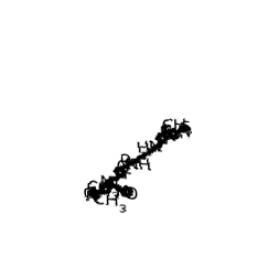 CCn1c2ccc(CNCCCCCCCCNC(=O)COc3ccc(CCc4nc5cc(-c6c(C)noc6C)ccc5n4CCN4CCOCC4)cc3F)cc2c2ccc(-c3cscn3)cc21